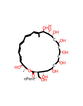 CCCCC[C@@H](O)[C@H]1C(=O)O[C@H](C)[C@@H](O)/C=C/C=C/C=C/C=C/C=C(\C)[C@@H](O)[C@H](O)[C@H](O)C[C@H](O)C[C@H](O)C[C@H](O)C[C@H](O)C[C@@H]1O